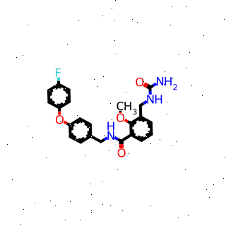 COc1c(CNC(N)=O)cccc1C(=O)NCc1ccc(Oc2ccc(F)cc2)cc1